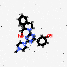 CN1CCN(c2nc(-c3cccc(O)c3)nc(N3CCc4ccccc4C3CO)n2)CC1